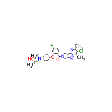 Cc1nc2c3c(nn2c(C)c1Cl)CN(C(=O)c1ccc(F)cc1O[C@H]1CC[C@@H](N(C)CC(C)O)CC1)C3